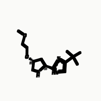 COCCO[C@H]1CN[C@H](c2nc(C(C)(C)C)c[nH]2)C1